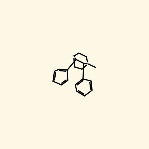 C[N+]12CCN(CC1)C(c1ccccc1)C2c1ccccc1